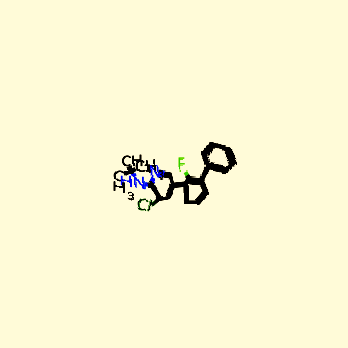 CC(C)(C)Nc1ncc(-c2cccc(-c3ccccc3)c2F)cc1Cl